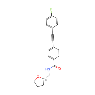 O=C(NC[C@@H]1CCCO1)c1ccc(C#Cc2ccc(F)cc2)cc1